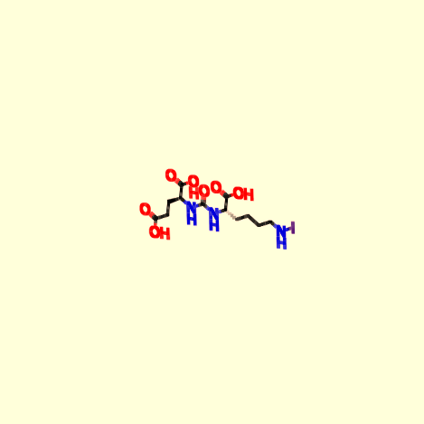 O=C(O)CC[C@H](NC(=O)N[C@@H](CCCCNI)C(=O)O)C(=O)O